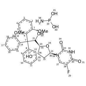 COc1ccccc1C(c1ccccc1)(c1ccccc1OC)C(O)[C@H]1O[C@@H](n2cc(F)c(=O)[nH]c2=O)C[C@@H]1O.NP(O)O